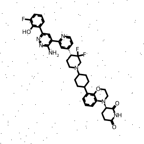 Nc1nnc(-c2cccc(F)c2O)cc1-c1cc([C@H]2CCN(C3CCC(c4cccc5c4OCCN5[C@@H]4CCC(=O)NC4=O)CC3)CC2(F)F)ccn1